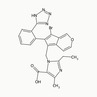 CCc1nc(C)c(C(=O)O)n1Cc1c2ccocc-2c(Br)c1-c1ccccc1-c1nnn[nH]1